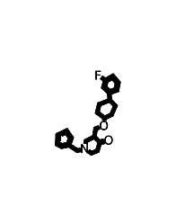 O=C1CCN(Cc2ccccc2)CC1COC1CCC(c2cccc(F)c2)CC1